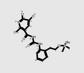 CC(C)(C)[Si](C)(C)OCCc1ccccc1NC(=O)NC(=O)c1cc(Cl)c(Cl)nc1Cl